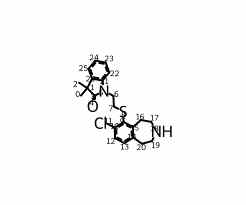 CC1(C)C(=O)N(CCSc2c(Cl)ccc3c2CCNCC3)c2ccccc21